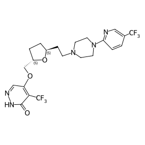 O=c1[nH]ncc(OC[C@@H]2CC[C@@H](CCN3CCN(c4ccc(C(F)(F)F)cn4)CC3)O2)c1C(F)(F)F